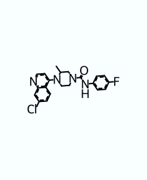 CC1CN(C(=O)Nc2ccc(F)cc2)CCN1c1ccnc2cc(Cl)ccc12